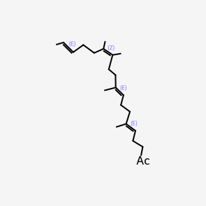 C/C=C/CC/C(C)=C(/C)CC/C(C)=C/CC/C(C)=C/CCC(C)=O